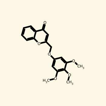 COc1cc(OCc2cc(=O)c3ccccc3o2)cc(OC)c1OC